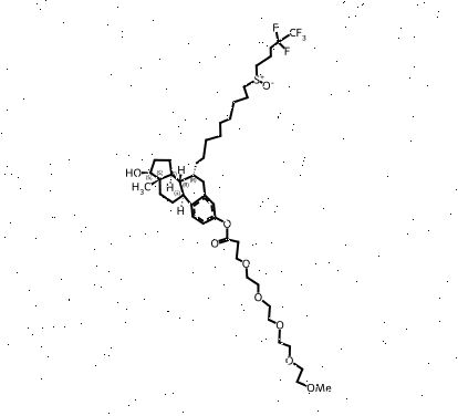 COCCOCCOCCOCCOCCC(=O)Oc1ccc2c(c1)C[C@@H](CCCCCCCCC[S+]([O-])CCCC(F)(F)C(F)(F)F)[C@@H]1[C@@H]2CC[C@]2(C)[C@@H](O)CC[C@@H]12